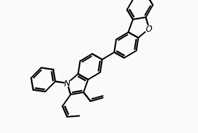 C=Cc1c(/C=C\C)n(-c2ccccc2)c2ccc(-c3ccc4oc5ccccc5c4c3)cc12